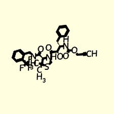 C#CCOC(=O)N[C@@H](Cc1ccccc1)[C@H](O)C(=O)N1CSC(C)(C)[C@H]1C(=O)NCc1ccccc1C(F)(F)F